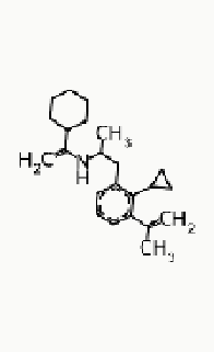 C=C(C)c1cccc(CC(C)NC(=C)C2CCCCC2)c1C1CC1